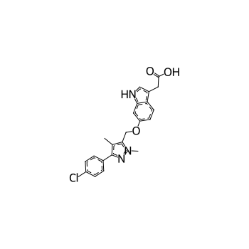 Cc1c(-c2ccc(Cl)cc2)nn(C)c1COc1ccc2c(CC(=O)O)c[nH]c2c1